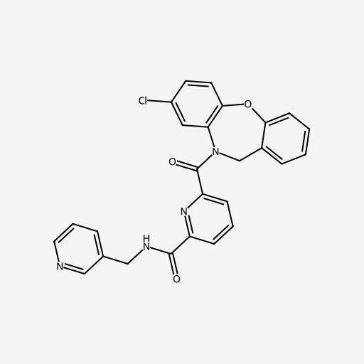 O=C(NCc1cccnc1)c1cccc(C(=O)N2Cc3ccccc3Oc3ccc(Cl)cc32)n1